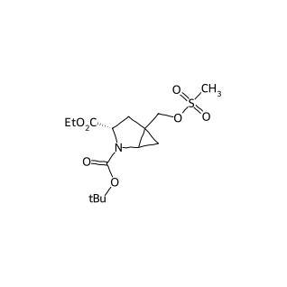 CCOC(=O)[C@@H]1CC2(COS(C)(=O)=O)CC2N1C(=O)OC(C)(C)C